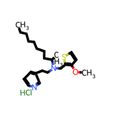 CCCCCCCCC(C)N(CCc1cccnc1)Cc1sccc1OC.Cl